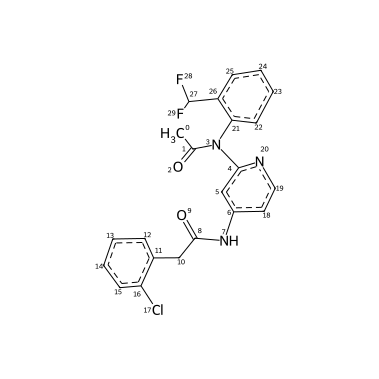 CC(=O)N(c1cc(NC(=O)Cc2ccccc2Cl)ccn1)c1ccccc1C(F)F